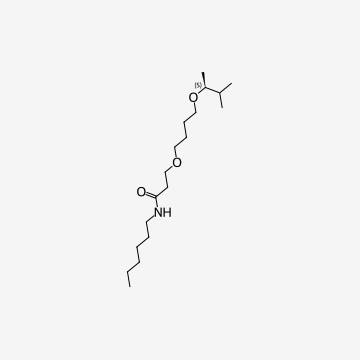 CCCCCCNC(=O)CCOCCCCO[C@@H](C)C(C)C